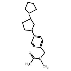 CC(=O)N(C)Cc1ccc(N2CCC(N3CCCC3)C2)cc1